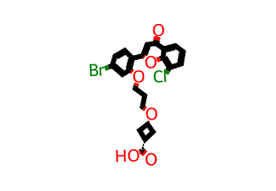 O=c1cc(-c2ccc(Br)cc2OCCCO[C@H]2C[C@@H](C(=O)O)C2)oc2c(Cl)cccc12